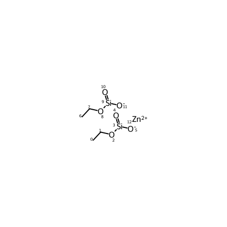 CCO[Si](=O)[O-].CCO[Si](=O)[O-].[Zn+2]